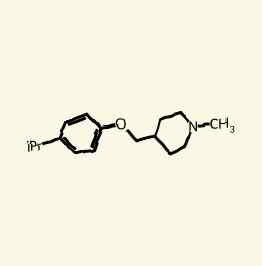 CC(C)c1ccc(OCC2CCN(C)CC2)cc1